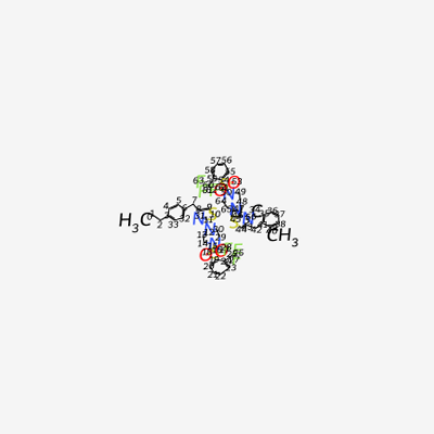 CCCc1ccc(Cc2csc(N3CCN(S(=O)(=O)c4ccccc4C(F)(F)F)CC3)n2)cc1.Cc1cccc(C)c1Cc1csc(N2CCN(S(=O)(=O)c3ccccc3C(F)(F)F)CC2)n1